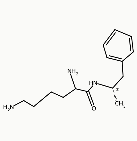 C[C@@H](Cc1ccccc1)NC(=O)C(N)CCCCN